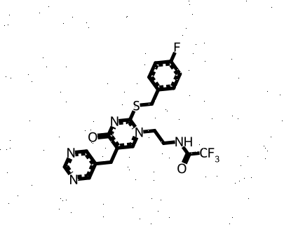 O=C(NCCn1cc(Cc2cncnc2)c(=O)nc1SCc1ccc(F)cc1)C(F)(F)F